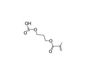 C=C(C)C(=O)OCCCOS(=O)O